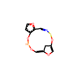 C1=NSOC2=COC(=COPOc3ccoc31)C2